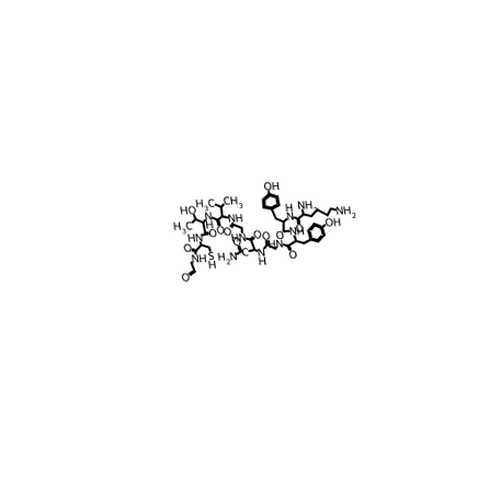 CC(C)C(NC(=O)CNC(=O)C(CC(N)=O)NC(=O)CNC(=O)C(Cc1ccc(O)cc1)NC(=O)C(Cc1ccc(O)cc1)NC(=O)C(N)CCCCN)C(=O)NC(C(=O)NC(CS)C(=O)NCC=O)C(C)O